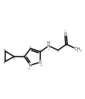 CC(=O)CNc1cc(C2CC2)no1